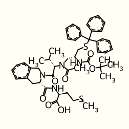 CSCC[C@H](NC(=O)[C@@H]1Cc2ccccc2CN1C(=O)[C@H](C(C)C)N(C[C@H](CSC(c1ccccc1)(c1ccccc1)c1ccccc1)NC(=O)OC(C)(C)C)C(C)=O)C(=O)O